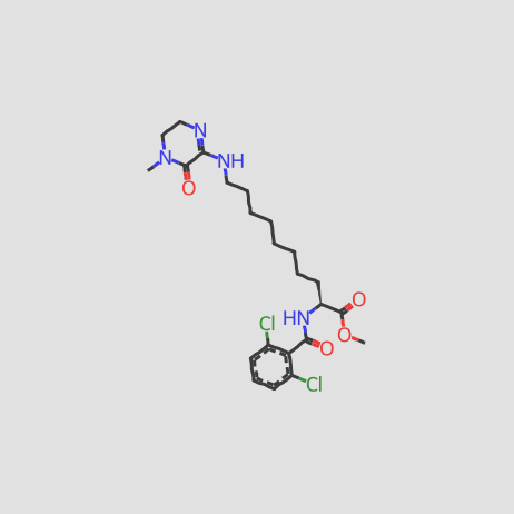 COC(=O)[C@H](CCCCCCCCNC1=NCCN(C)C1=O)NC(=O)c1c(Cl)cccc1Cl